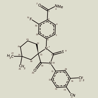 CNC(=O)c1ccc(N2C(=S)N(c3ccc(C#N)c(C(F)(F)F)c3)C(=O)[C@@]23CCCC(C)(C)C3)cc1F